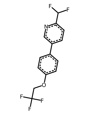 FC(F)c1ccc(-c2ccc(OCC(F)(F)F)cc2)cn1